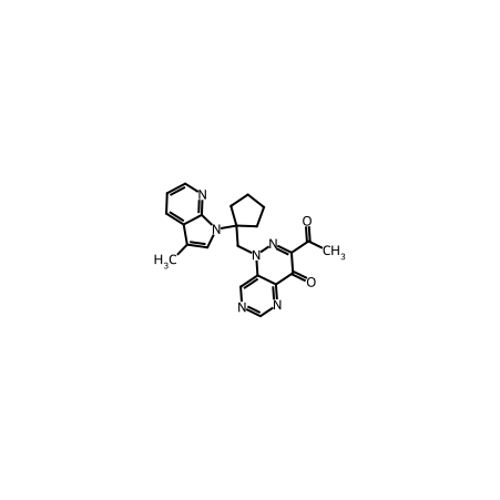 CC(=O)c1nn(CC2(n3cc(C)c4cccnc43)CCCC2)c2cncnc2c1=O